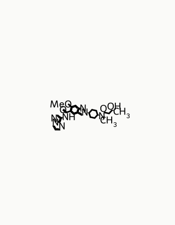 COc1cc2nn([C@H]3CC[C@H](N(C)C(=O)C[C@@H](C)O)CC3)cc2cc1C(=O)Nc1cnn2cccnc12